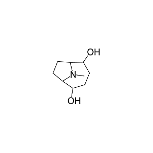 CN1C2CCC1C(O)CCC2O